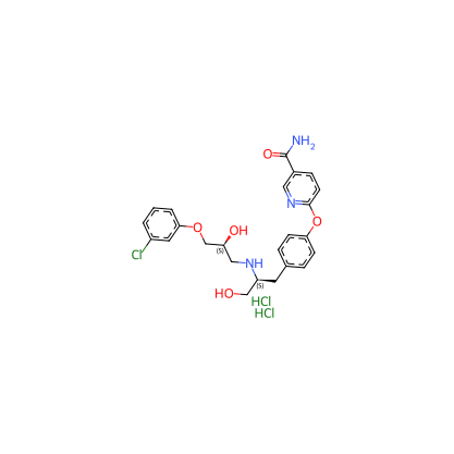 Cl.Cl.NC(=O)c1ccc(Oc2ccc(C[C@@H](CO)NC[C@H](O)COc3cccc(Cl)c3)cc2)nc1